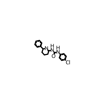 O=C(NC1=NC(c2ccccc2)CCC1)Nc1ccc(Cl)cc1